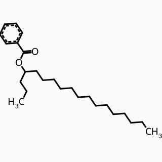 CCCCCCCCCCCCCCC(CCC)OC(=O)c1ccccc1